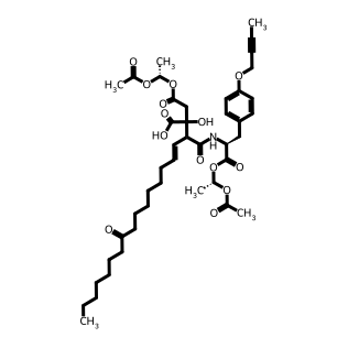 CC#CCOc1ccc(C[C@H](NC(=O)C(/C=C/CCCCCCC(=O)CCCCCCC)C(O)(CC(=O)O[C@@H](C)OC(C)=O)C(=O)O)C(=O)O[C@@H](C)OC(C)=O)cc1